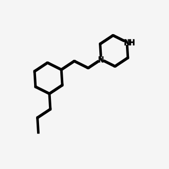 CCCC1CCCC(CCN2CCNCC2)C1